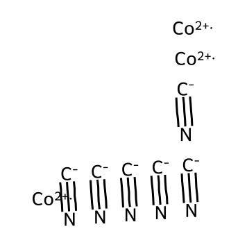 [C-]#N.[C-]#N.[C-]#N.[C-]#N.[C-]#N.[C-]#N.[Co+2].[Co+2].[Co+2]